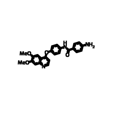 COc1cc2nccc(Oc3ccc(NC(=O)c4ccc(N)cc4)cc3)c2cc1OC